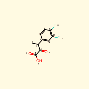 CC(C(=O)C(=O)O)c1ccc(F)c(F)c1